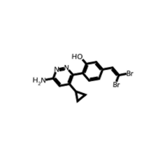 Nc1cc(C2CC2)c(-c2ccc(C=C(Br)Br)cc2O)nn1